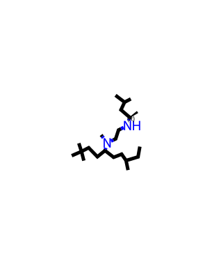 CCC(C)CCC(CCC(C)(C)C)N(C)CCN[C@H](C)CC(C)C